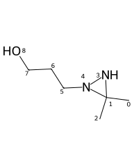 CC1(C)NN1CCCO